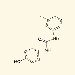 Cc1cccc(NC(=O)Nc2ccc(O)cc2)c1